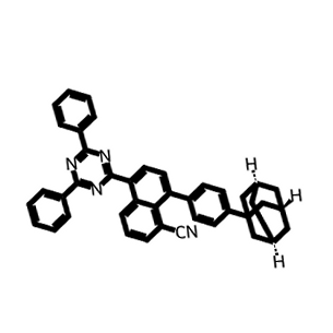 N#Cc1cccc2c(-c3nc(-c4ccccc4)nc(-c4ccccc4)n3)ccc(-c3ccc(C45C[C@H]6C[C@@H](C4)C[C@@H](C5)C6)cc3)c12